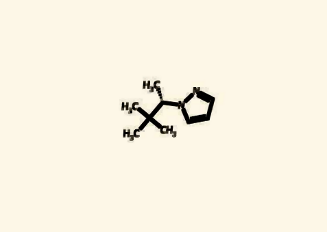 C[C@H](n1cccn1)C(C)(C)C